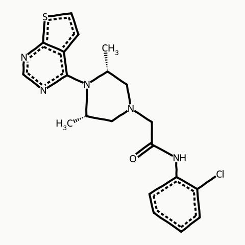 C[C@@H]1CN(CC(=O)Nc2ccccc2Cl)C[C@H](C)N1c1ncnc2sccc12